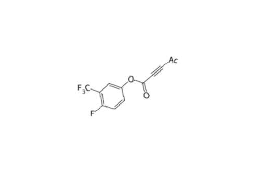 CC(=O)C#CC(=O)Oc1ccc(F)c(C(F)(F)F)c1